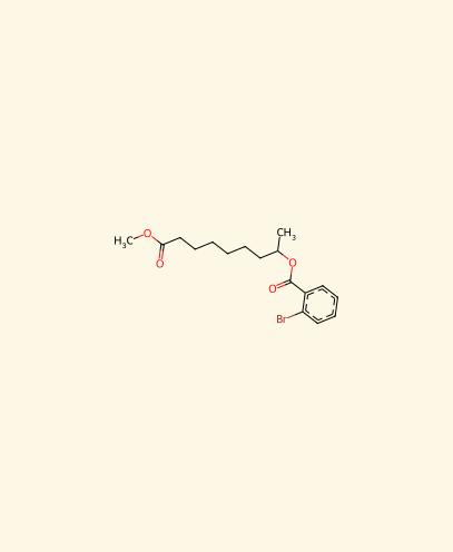 COC(=O)CCCCCCC(C)OC(=O)c1ccccc1Br